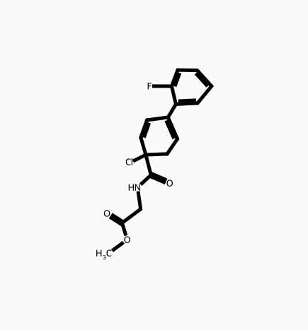 COC(=O)CNC(=O)C1(Cl)C=CC(c2ccccc2F)=CC1